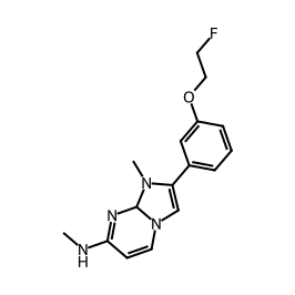 CNC1=NC2N(C=C1)C=C(c1cccc(OCCF)c1)N2C